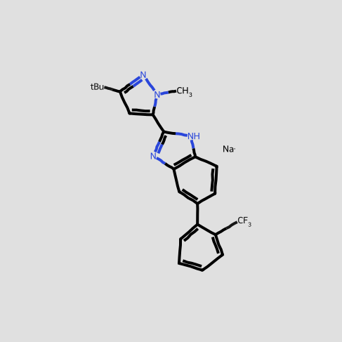 Cn1nc(C(C)(C)C)cc1-c1nc2cc(-c3ccccc3C(F)(F)F)ccc2[nH]1.[Na]